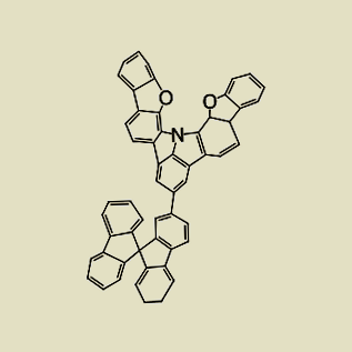 C1=CC2c3ccccc3OC2c2c1c1cc(-c3ccc4c(c3)C3(C5=CCCC=C54)c4ccccc4-c4ccccc43)cc3c4ccc5c6ccccc6oc5c4n2c13